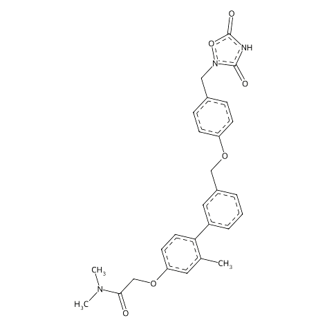 Cc1cc(OCC(=O)N(C)C)ccc1-c1cccc(COc2ccc(Cn3oc(=O)[nH]c3=O)cc2)c1